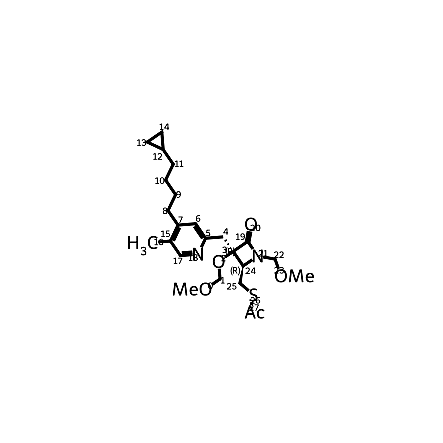 COCO[C@@]1(Cc2cc(CCCCC3CC3)c(C)cn2)C(=O)N(COC)[C@H]1CSC(C)=O